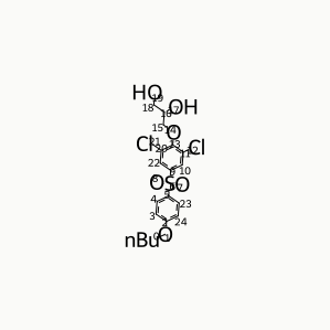 CCCCOc1ccc(S(=O)(=O)c2cc(Cl)c(OC[C@@H](O)CO)c(Cl)c2)cc1